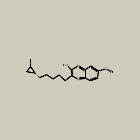 CCOc1ccc2nc(CCCCC[C@@H]3CC3C)c(O)nc2c1